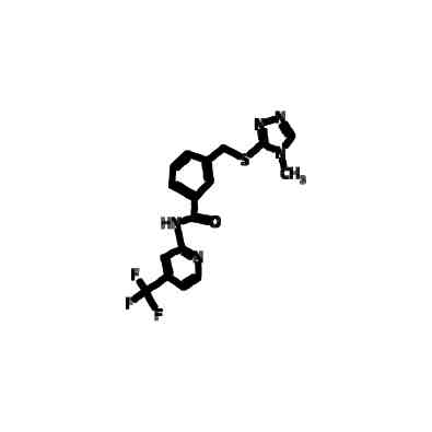 Cn1cnnc1SCc1cccc(C(=O)Nc2cc(C(F)(F)F)ccn2)c1